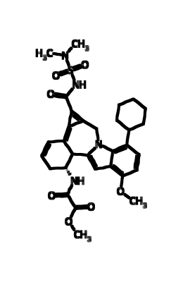 COC(=O)C(=O)N[C@@H]1CC=CC2=C3C(=C3C(=O)NS(=O)(=O)N(C)C)Cn3c(cc4c(OC)ccc(C5CCCCC5)c43)C21